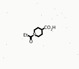 CCC(=O)N1CCC(C(=O)O)CC1